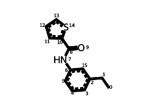 CCc1cccc(NC(=O)c2cccs2)c1